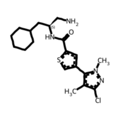 Cc1c(Cl)nn(C)c1-c1csc(C(=O)N[C@H](CN)CC2CCCCC2)c1